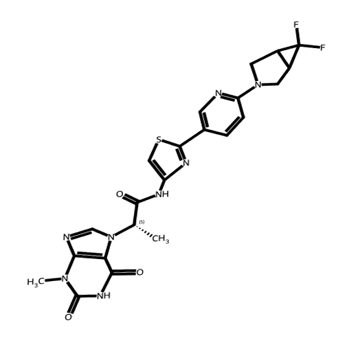 C[C@@H](C(=O)Nc1csc(-c2ccc(N3CC4C(C3)C4(F)F)nc2)n1)n1cnc2c1c(=O)[nH]c(=O)n2C